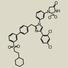 O=C1CN(c2cccc(-n3cc(-c4ccc(Cl)cc4Cl)nc3Cc3ccc(-c4cccc(S(=O)(=O)CCC5CCCCC5)c4)cc3)c2)S(=O)(=O)N1